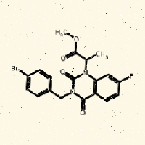 COC(=O)C(C)n1c(=O)n(Cc2ccc(Br)cc2)c(=O)c2ccc(F)cc21